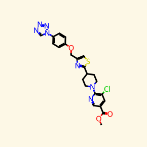 COC(=O)c1cnc(N2CCC(c3nc(COc4ccc(-n5cnnn5)cc4)cs3)CC2)c(Cl)c1